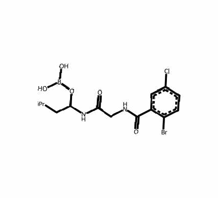 CC(C)CC(NC(=O)CNC(=O)c1cc(Cl)ccc1Br)OB(O)O